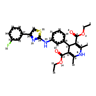 CCOC(=O)C1=C(C)NC(C)=C(C(=O)OCC)C1c1cccc(Nc2nc(-c3cccc(F)c3)cs2)c1